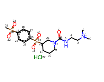 CN(C)CCNC(=O)N1CCCC(S(=O)(=O)c2ccc(S(C)(=O)=O)cc2)C1.Cl